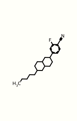 CCCCCC1CCC2CC(c3ccc(C#N)c(F)c3)CCC2C1